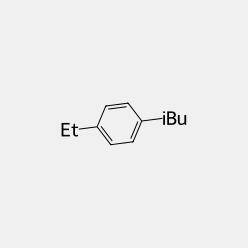 [CH2]Cc1ccc(C(C)CC)cc1